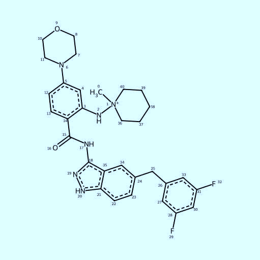 C[N+]1(Nc2cc(N3CCOCC3)ccc2C(=O)Nc2n[nH]c3ccc(Cc4cc(F)cc(F)c4)cc23)CCCCC1